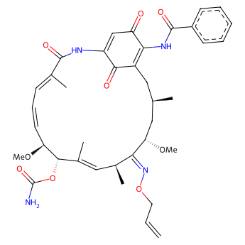 C=CCO/N=C1/[C@@H](OC)C[C@H](C)CC2=C(NC(=O)c3ccccc3)C(=O)C=C(NC(=O)/C(C)=C/C=C\[C@H](OC)[C@@H](OC(N)=O)/C(C)=C/[C@@H]1C)C2=O